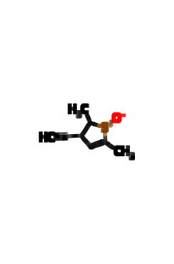 C#CC1C=C(C)[S+]([O-])C1C